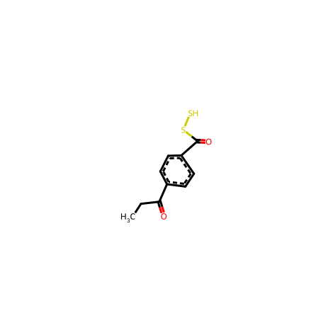 CCC(=O)c1ccc(C(=O)SS)cc1